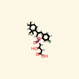 CC1(C)CC=C(C(=Cc2ccc(F)cc2)CO[PH](=O)CC(O)CC(=O)O)C(C)(C)C1